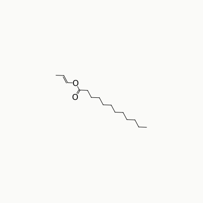 CC=COC(=O)CCCCCCCCCCC